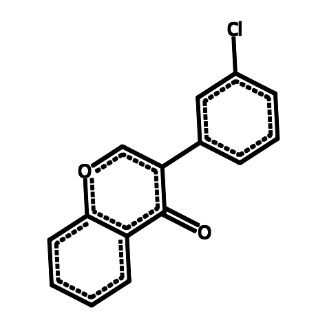 O=c1c(-c2cccc(Cl)c2)coc2ccccc12